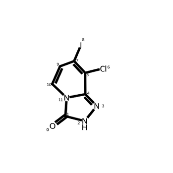 O=c1[nH]nc2c(Cl)c(I)ccn12